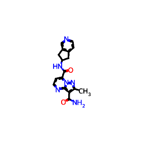 Cc1nn2c(C(=O)NC3Cc4ccncc4C3)ccnc2c1C(N)=O